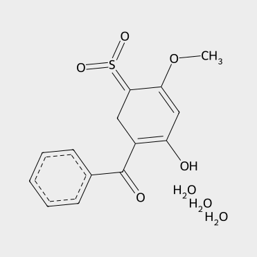 COC1=CC(O)=C(C(=O)c2ccccc2)CC1=S(=O)=O.O.O.O